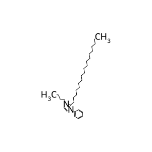 CCCCCCCCCCCCCCCCCCCC1N(CCCC)C=CN1c1ccccc1